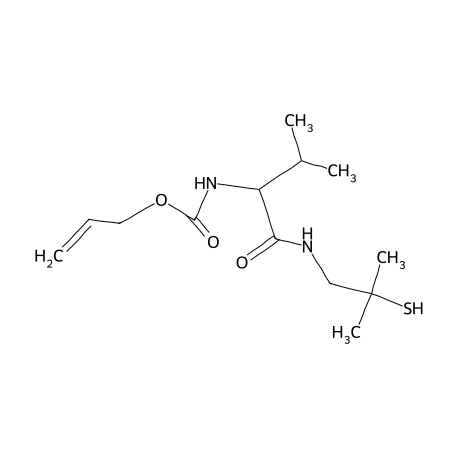 C=CCOC(=O)NC(C(=O)NCC(C)(C)S)C(C)C